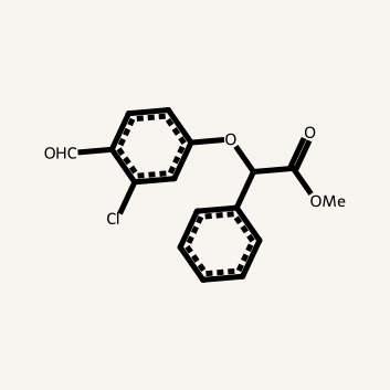 COC(=O)C(Oc1ccc(C=O)c(Cl)c1)c1ccccc1